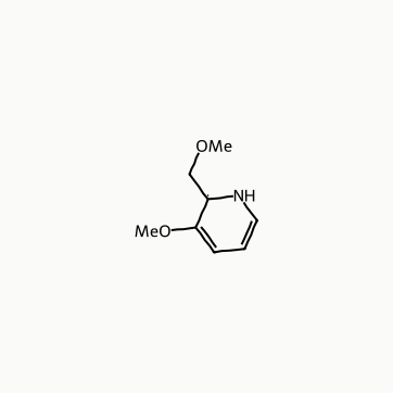 COC[C]1NC=CC=C1OC